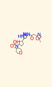 Cc1cnc(CC(=O)Nc2cc(C3CCC(N(C(=O)O)C4(C)CCOCC4)C3)[nH]n2)o1